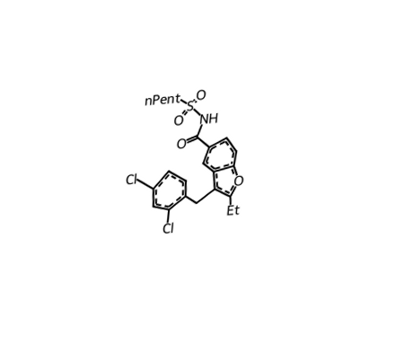 CCCCCS(=O)(=O)NC(=O)c1ccc2oc(CC)c(Cc3ccc(Cl)cc3Cl)c2c1